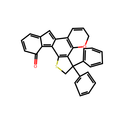 O=C1C=CC=C2C=c3c4c(c5c(c3=C12)SCC5(c1ccccc1)c1ccccc1)OCC=C4